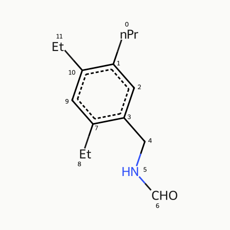 CCCc1cc(CNC=O)c(CC)cc1CC